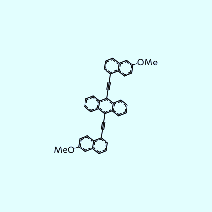 COc1ccc2c(C#Cc3c4ccccc4c(C#Cc4cccc5cc(OC)ccc45)c4ccccc34)cccc2c1